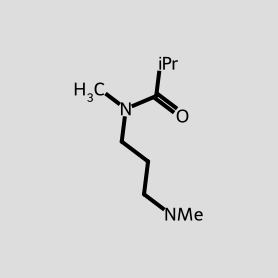 CNCCCN(C)C(=O)C(C)C